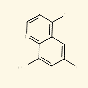 Cc1cc(I)cc2c(F)ccnc12